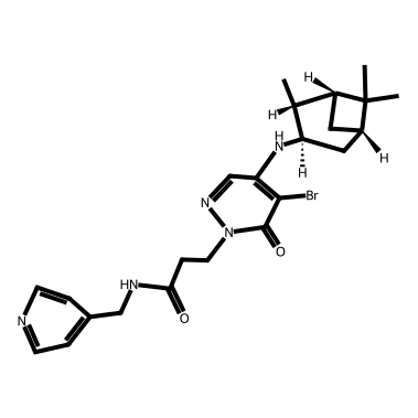 C[C@@H]1[C@H]2C[C@@H](C[C@H]1Nc1cnn(CCC(=O)NCc3ccncc3)c(=O)c1Br)C2(C)C